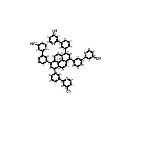 N#Cc1ccnc(-c2cccc(-c3cc(-c4cccc(-c5cc(C#N)ccn5)c4)c4ccc5c(-c6cccc(-c7cc(C#N)ccn7)c6)cc(-c6cccc(-c7cc(C#N)ccn7)c6)c6ccc3c4c65)c2)c1